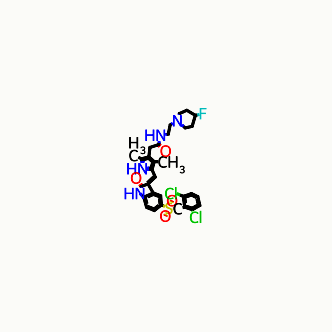 Cc1[nH]c(/C=C2\C(=O)Nc3ccc(S(=O)(=O)Cc4c(Cl)cccc4Cl)cc32)c(C)c1CC(=O)NCCN1CCC(F)CC1